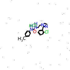 Cc1ccc(NC(=O)NCCN2CCN=C2c2ccccc2Cl)cc1.Cl